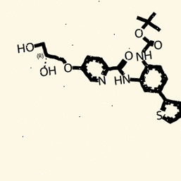 CC(C)(C)OC(=O)Nc1ccc(-c2cccs2)cc1NC(=O)c1ccc(OC[C@H](O)CO)cn1